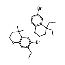 CCC1(CC)CCSc2ccc(Br)cc21.CCc1cc2c(cc1Br)C(C)(C)CCS2